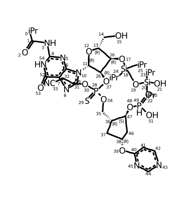 CC(C)C(=O)Nc1nc2c(ncn2[C@@H]2O[C@H](CO)[C@@H](O[Si](O[Si](O)(C(C)C)C(C)C)(C(C)C)C(C)C)[C@H]2OP(=S)(OCCC#N)OC[C@H]2C[C@@H](Oc3ccncn3)C[C@@H]2O[PH](=O)O)c(=O)[nH]1